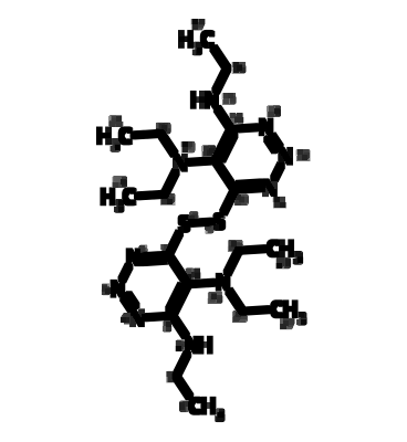 CCNc1nnnc(SSc2nnnc(NCC)c2N(CC)CC)c1N(CC)CC